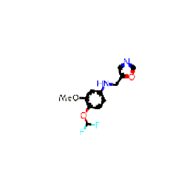 COc1cc(NCc2cnco2)ccc1OC(F)F